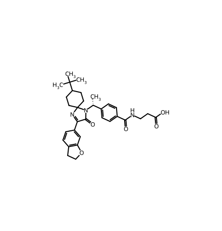 C[C@H](c1ccc(C(=O)NCCC(=O)O)cc1)N1C(=O)C(c2ccc3c(c2)OCC3)=NC12CCC(C(C)(C)C)CC2